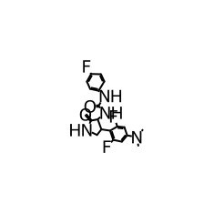 CN(C)c1cc(F)c(C2CNC(=O)C2NC(=O)Nc2ccc(F)cc2)c(F)c1